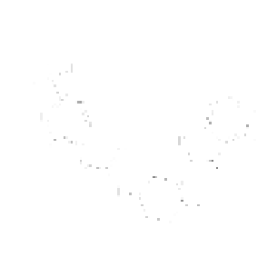 CN1CCC(NC(=O)Nc2ccc(C(C)(F)F)nc2)C[C@@H]1c1nc2ccccc2[nH]1